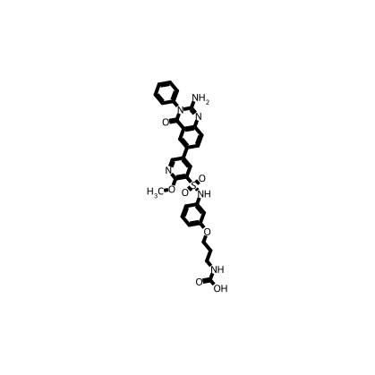 COc1ncc(-c2ccc3nc(N)n(-c4ccccc4)c(=O)c3c2)cc1S(=O)(=O)Nc1cccc(OCCCNC(=O)O)c1